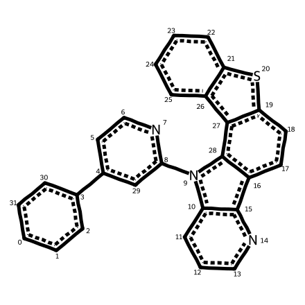 c1ccc(-c2ccnc(-n3c4cccnc4c4ccc5sc6ccccc6c5c43)c2)cc1